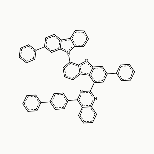 c1ccc(-c2ccc(-c3nc(-c4cc(-c5ccccc5)cc5oc6c(-n7c8ccccc8c8ccc(-c9ccccc9)cc87)cccc6c45)nc4ccccc34)cc2)cc1